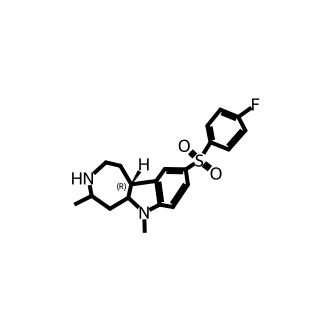 CC1CC2[C@H](CCN1)c1cc(S(=O)(=O)c3ccc(F)cc3)ccc1N2C